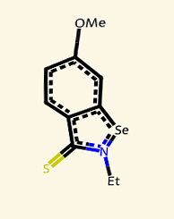 CCn1[se]c2cc(OC)ccc2c1=S